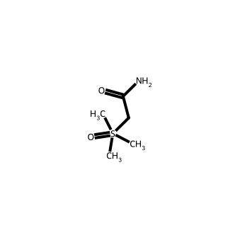 CS(C)(C)(=O)CC(N)=O